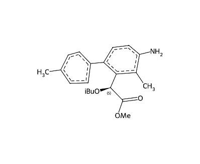 COC(=O)[C@@H](OCC(C)C)c1c(-c2ccc(C)cc2)ccc(N)c1C